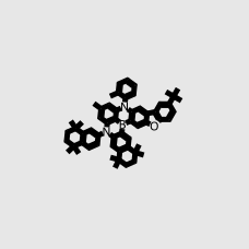 Cc1cc2c3c(c1)N(c1ccccc1C)c1cc4c(cc1B3c1cc3c(cc1N2c1ccc2c(c1)C(C)(C)CCC2(C)C)C(C)(C)CCC3(C)C)oc1ccc(C(C)(C)C)cc14